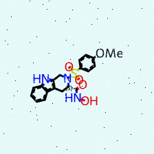 COc1ccc(S(=O)(=O)N2Cc3[nH]c4ccccc4c3C[C@H]2C(=O)NO)cc1